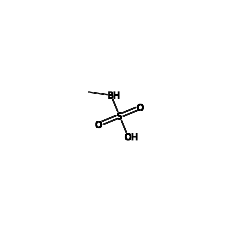 CBS(=O)(=O)O